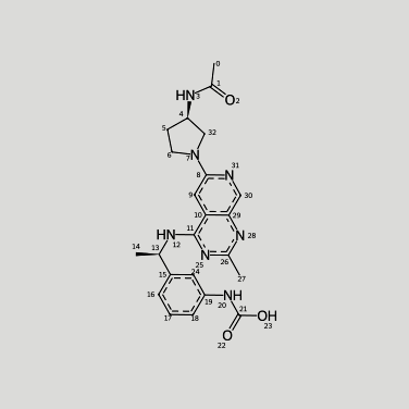 CC(=O)N[C@@H]1CCN(c2cc3c(N[C@H](C)c4cccc(NC(=O)O)c4)nc(C)nc3cn2)C1